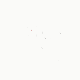 CN(c1ccc(Cl)s1)c1cc(C2CC3CCC(C2)N3S(C)(=O)=O)nn1C(=O)c1cscn1